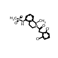 C[C@@H]1c2cccc(NS(C)(=O)=O)c2CCN1C(=O)Cc1c(Cl)cccc1Cl